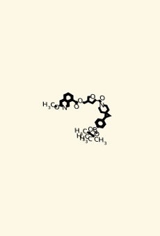 COc1cc2cccc(C(=O)OCC3CO[C@@H](C(=O)N4CCC5(CC4)CC5c4ccc(B5OC(C)(C)C(C)(C)O5)cc4)C3)c2cn1